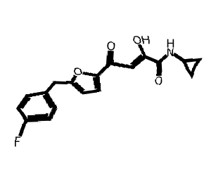 O=C(NC1CC1)C(O)=CC(=O)c1ccc(Cc2ccc(F)cc2)o1